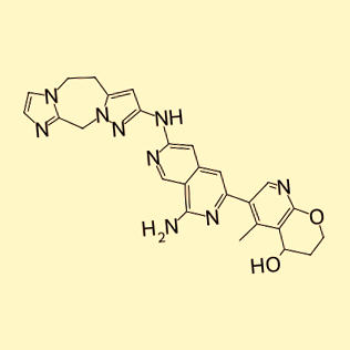 Cc1c(-c2cc3cc(Nc4cc5n(n4)Cc4nccn4CC5)ncc3c(N)n2)cnc2c1C(O)CCO2